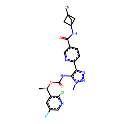 C[C@@H](OC(=O)Nc1c(-c2ccc(C(=O)NC34CC(C#N)(C3)C4)cn2)nnn1C)c1cc(F)cnc1Cl